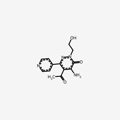 CC(=O)c1c(-c2ccncc2)nn(CCO)c(=O)c1N